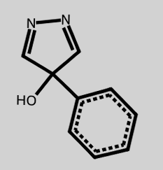 OC1(c2ccccc2)C=NN=C1